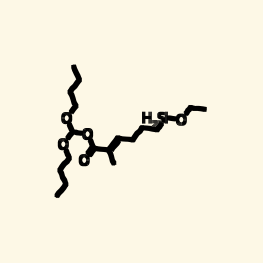 CCCCOC(OCCCC)OC(=O)C(C)=CCCC[SiH2]OCC